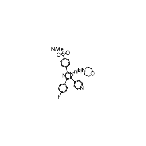 C1COCCN1.CCCn1c(-c2ccc(S(=O)(=O)NC)cc2)nc(-c2ccc(F)cc2)c1-c1ccncc1